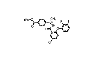 C[C@H](NC(=O)c1cc(Cl)cnc1Oc1cccc(F)c1F)c1ccc(C(=O)OC(C)(C)C)cc1